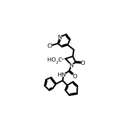 O=C(O)[C@@H]1C(Cc2ccnc(Cl)c2)C(=O)N1C(=O)NC(c1ccccc1)c1ccccc1